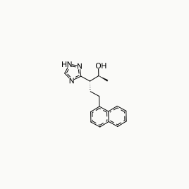 C[C@H](O)[C@H](CCc1cccc2ccccc12)c1nc[nH]n1